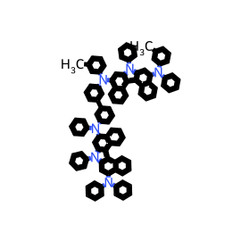 Cc1cccc(N(c2ccccc2)c2cc3c(c4ccccc24)c2c4ccccc4c(N(c4cccc(C)c4)c4cccc(-c5cccc(N(c6ccccc6)c6cc7c(c8ccccc68)c6c8ccccc8c(N(c8ccccc8)c8ccccc8)cc6n7-c6ccccc6)c5)c4)cc2n3-c2ccccc2)c1